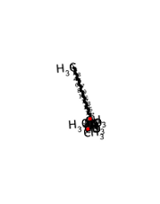 CCCCC=CCCCCCCCCCCCCCCC(CCC)(P(=O)=O)[N+](C)(C)C